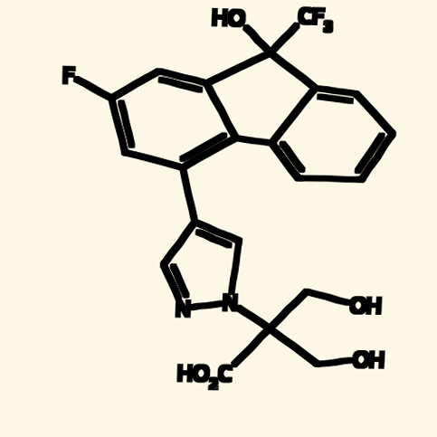 O=C(O)C(CO)(CO)n1cc(-c2cc(F)cc3c2-c2ccccc2C3(O)C(F)(F)F)cn1